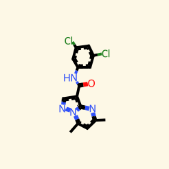 Cc1cc(C)n2ncc(C(=O)Nc3cc(Cl)cc(Cl)c3)c2n1